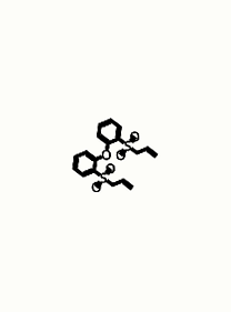 C=CCS(=O)(=O)c1ccccc1Oc1ccccc1S(=O)(=O)CC=C